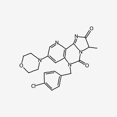 CC1C(=O)N=C2c3ncc(N4CCOCC4)cc3N(Cc3ccc(Cl)cc3)C(=O)N21